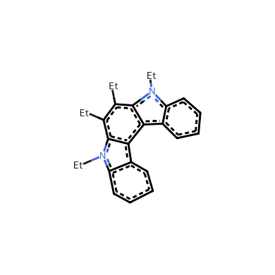 CCc1c(CC)c2c(c3ccccc3n2CC)c2c3ccccc3n(CC)c12